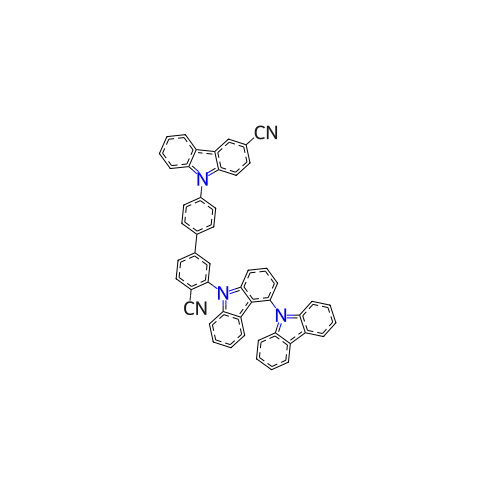 N#Cc1ccc2c(c1)c1ccccc1n2-c1ccc(-c2ccc(C#N)c(-n3c4ccccc4c4c(-n5c6ccccc6c6ccccc65)cccc43)c2)cc1